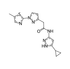 Cc1cnc(-n2ccc(CC(=O)Nc3cc(C4CC4)[nH]n3)n2)s1